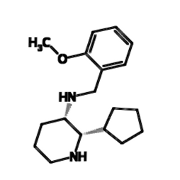 COc1ccccc1CN[C@H]1CCCN[C@H]1C1CCCC1